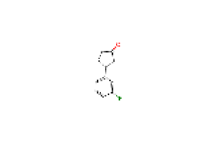 O=C1CCC(c2cccc(F)c2)C1